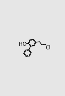 Oc1ccc(CCCCl)cc1-c1ccccc1